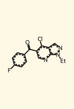 CCn1ncc2c(Cl)c(C(=O)c3ccc(F)cc3)cnc21